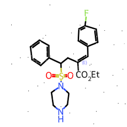 CCOC(=O)/C(=C/c1ccc(F)cc1)CC(c1ccccc1)S(=O)(=O)N1CCNCC1